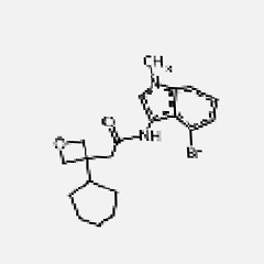 Cn1cc(NC(=O)CC2(C3CCCCC3)COC2)c2c(Br)cccc21